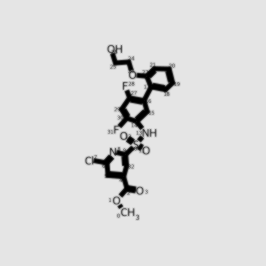 COC(=O)c1cc(Cl)nc(S(=O)(=O)Nc2cc(-c3ccccc3OCCO)c(F)cc2F)c1